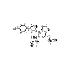 CC(O[Si](C)(C)C(C)(C)C)c1nccn1[C@H](CNC(=O)OC(C)(C)C)c1cc(-c2ccc(I)cc2)on1